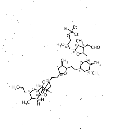 C=CC[C@@H]1O[C@H]2[C@H]3O[C@]4(CC[C@H]5CC(=C)C(CC[C@H]6C[C@@H](C)C(=C)[C@@H](CC7O[C@H](C[C@H](C)CO[Si](CC)(CC)CC)[C@H](C)[C@H]7CC=O)O6)O5)C[C@H]3O[C@H]2[C@@H](O4)C1C